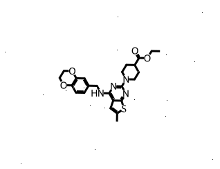 CCOC(=O)C1CCN(c2nc(NCc3ccc4c(c3)OCCO4)c3cc(C)sc3n2)CC1